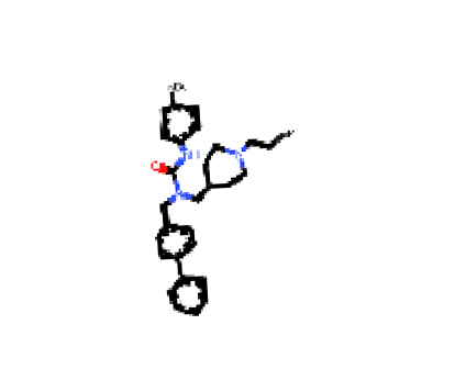 CCCCc1ccc(NC(=O)N(Cc2ccc(-c3ccccc3)cc2)CC2CCN(CCC(C)C)CC2)cc1